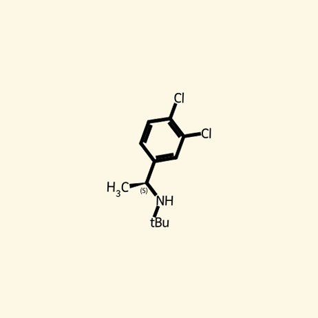 C[C@H](NC(C)(C)C)c1ccc(Cl)c(Cl)c1